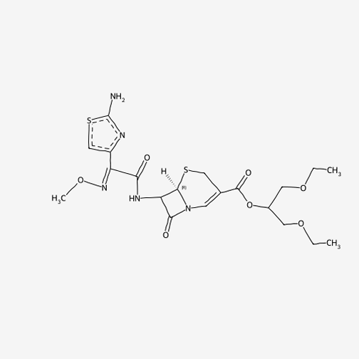 CCOCC(COCC)OC(=O)C1=CN2C(=O)C(NC(=O)C(=NOC)c3csc(N)n3)[C@H]2SC1